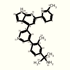 Cc1cccc(-c2cc(-c3cncc(-c4ccc(C(C)(C)N)cc4C)c3)c3cc[nH]c3n2)n1